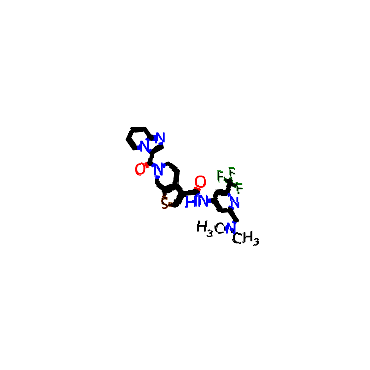 CN(C)Cc1cc(NC(=O)c2csc3c2CCN(C(=O)c2cnc4ccccn24)C3)cc(C(F)(F)F)n1